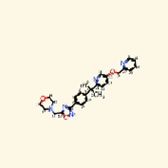 CC(C)C(C)(c1ccc(-c2noc(CN3CCOCC3)n2)cc1)c1ccc(OCc2ccccn2)cn1